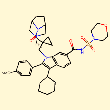 COc1ccc(-c2c(C3CCCCC3)c3ccc(C(=O)NS(=O)(=O)N4CCOCC4)cc3n2CC2(C(=O)N3C4CCC3CN(C)C4)CC2)cc1